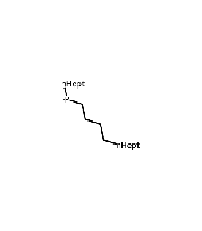 CCCCCCCCCCC[P]CCCCCCC